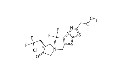 COCc1nn2c(C(F)(F)F)c(CN3CC(=O)[C@@H](CC(F)(F)Cl)C3)nc2s1